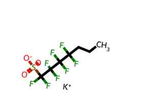 CCCC(F)(F)C(F)(F)C(F)(F)C(F)(F)S(=O)(=O)[O-].[K+]